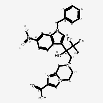 O=C(O)c1cn2c(n1)CN(CC(O)(c1cn(Cc3ccccc3)c3cc([N+](=O)[O-])ccc13)C(F)(F)F)CC2